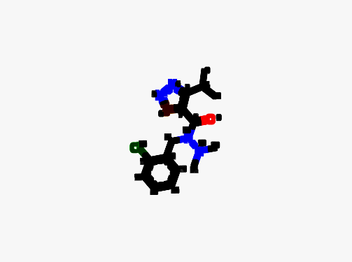 CC(C)c1nnsc1C(=O)N(Cc1ccccc1Cl)N(C)C